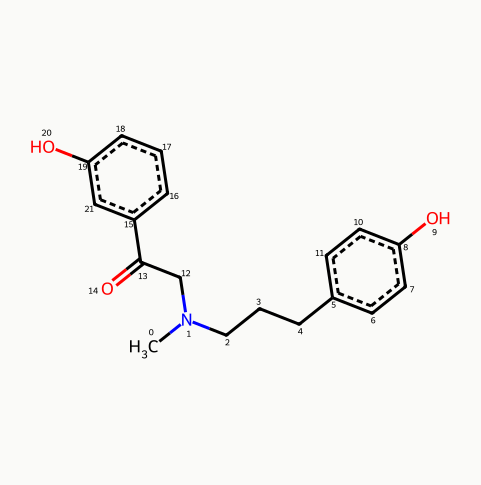 CN(CCCc1ccc(O)cc1)CC(=O)c1cccc(O)c1